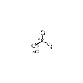 [C].[Cl][Al]([Cl])[Cl]